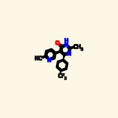 Cc1nc([C@H]2CC[C@@H](C(F)(F)F)CC2)c(-c2ccc(C#N)nc2)c(=O)[nH]1